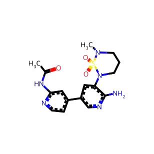 CC(=O)Nc1cc(-c2cnc(N)c(N3CCCN(C)S3(=O)=O)c2)ccn1